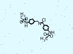 CS(=O)(=O)Nc1ccc(C/N=C(\Cl)c2ccc(NS(C)(=O)=O)cc2)cc1